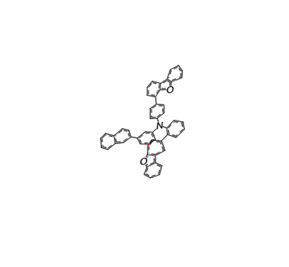 c1cc(-c2ccc3ccccc3c2)cc(N(c2ccc(-c3cccc4c3oc3ccccc34)cc2)c2ccccc2-c2ccc3oc4ccccc4c3c2)c1